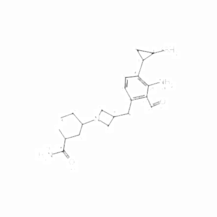 BC1CC1c1ccc(CC2CN(C(CC)CC(C)C(N)=O)C2)c(C=O)c1N